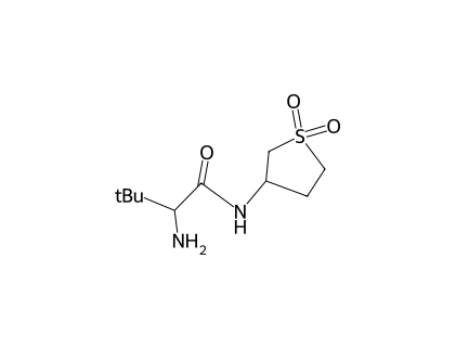 CC(C)(C)C(N)C(=O)NC1CCS(=O)(=O)C1